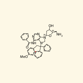 COc1ccc(CC(c2ccccc2)(c2ccccc2)N2CN([C@H]3CC(O)[C@@H](CN)O3)c3ncnc(NC(=O)c4ccccc4)c32)cc1